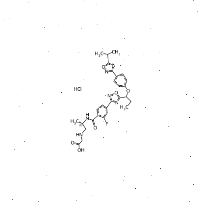 CCC(Oc1ccc(-c2noc(C(C)C)n2)cc1)c1nc(-c2ccc(C(=O)N[C@H](C)CNCC(=O)O)c(F)c2)no1.Cl